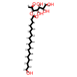 CC(=O)[C@H](OC(=O)CCCCCCCCCCCCCCCCCO)[C@@H](O)[C@H](O)[C@H](O)CO